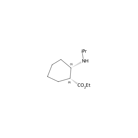 CCOC(=O)[C@@H]1CCCC[C@@H]1NC(C)C